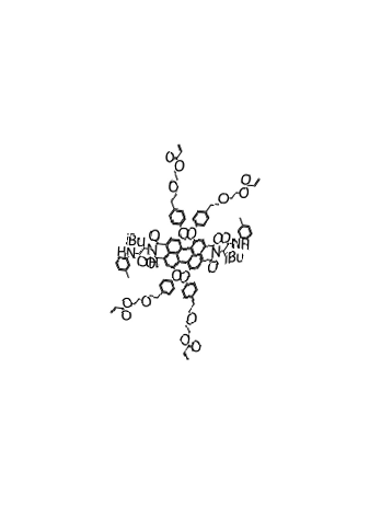 C=CC(=O)OCCOCCc1ccc(Oc2cc3c4c(cc(Oc5ccc(CCOCCOC(=O)C=C)cc5)c5c6c(Oc7ccc(CCOCCOC(=O)C=C)cc7)cc7c8c(cc(Oc9ccc(CCOCCOC(=O)C=C)cc9)c(c2c45)c86)C(=O)N(C(C(C)CC)C(O)Nc2cccc(C)c2)C7=O)C(=O)N(C(C(=O)Nc2cccc(C)c2)C(C)CC)C3=O)cc1